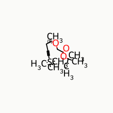 C[C@@H](CC#C[Si](C)(C)C)OCC(=O)OC(C)(C)C